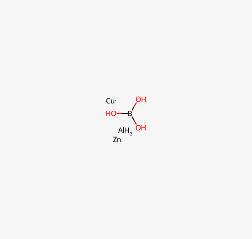 OB(O)O.[AlH3].[Cu].[Zn]